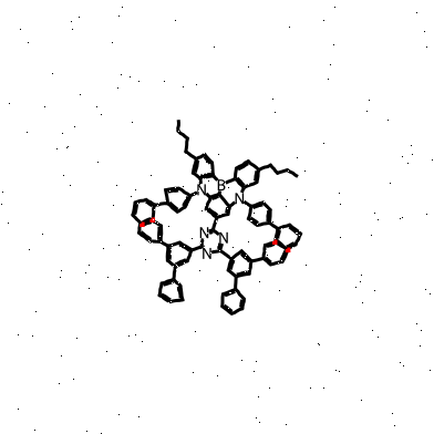 CCCCc1ccc2c(c1)N(c1ccc(-c3ccccc3)cc1)c1cc(-c3nc(-c4cc(-c5ccccc5)cc(-c5ccccc5)c4)nc(-c4cc(-c5ccccc5)cc(-c5ccccc5)c4)n3)cc3c1B2c1ccc(CCCC)cc1N3c1ccc(-c2ccccc2)cc1